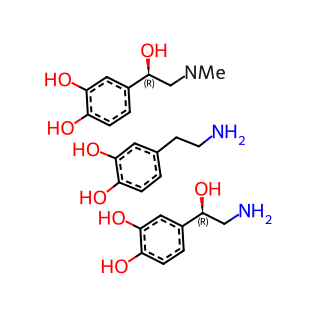 CNC[C@H](O)c1ccc(O)c(O)c1.NCCc1ccc(O)c(O)c1.NC[C@H](O)c1ccc(O)c(O)c1